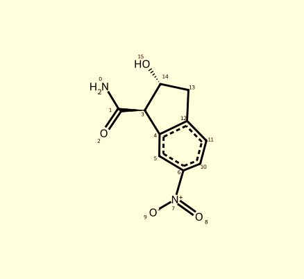 NC(=O)[C@@H]1c2cc([N+](=O)[O-])ccc2C[C@H]1O